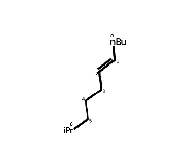 CCCCC=CCCCC(C)C